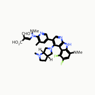 CNc1cc(F)c(F)c2c1[nH]c1ncc(-c3cnc(N(/C=C(\C=O)C(=O)O)NC)c(C)c3)c(N3C[C@@H]4CCN(C)[C@@H]4C3)c12